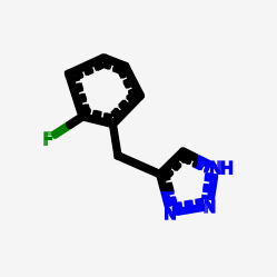 Fc1ccccc1Cc1c[nH]nn1